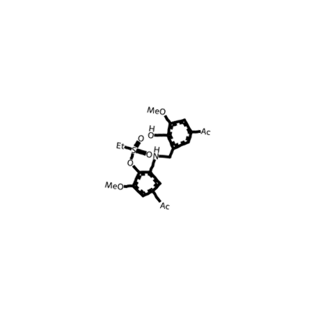 CCS(=O)(=O)Oc1c(NCc2cc(C(C)=O)cc(OC)c2O)cc(C(C)=O)cc1OC